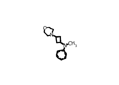 CN(c1ccccc1)C1CC(N2CCOCC2)C1